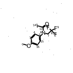 COc1ccc(N(CC(F)(F)F)C(=O)I)cc1